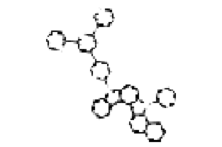 c1ccc(-n2c3ccc4c(c5ccccc5n4-c4ccc(-c5cc(-c6cccnc6)nc(-c6ccccn6)c5)cn4)c3c3ccc4ccccc4c32)cc1